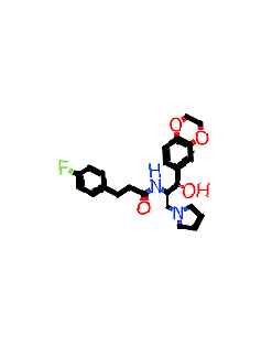 O=C(CCc1ccc(F)cc1)N[C@H](CN1CCCC1)[C@@H](O)c1ccc2c(c1)OCCO2